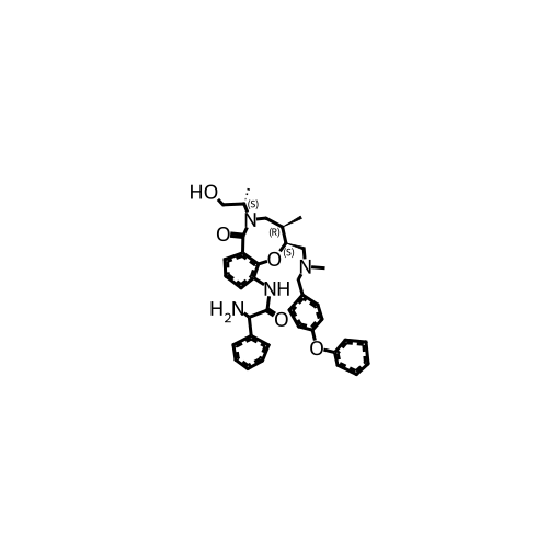 C[C@@H]1CN([C@@H](C)CO)C(=O)c2cccc(NC(=O)C(N)c3ccccc3)c2O[C@@H]1CN(C)Cc1ccc(Oc2ccccc2)cc1